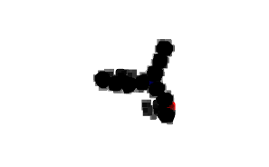 CC1(C)c2ccccc2Oc2ccc(-c3ccc(N(c4ccc(-c5ccc(-c6ccccc6)cc5)cc4)c4ccc(-c5ccc6c(c5)C(C)(C)c5cc(-c7ccccc7)ccc5-6)cc4)cc3)cc21